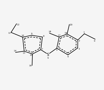 CCc1ccc(Sc2ccc(CC)c(C)c2C)c(C)c1C